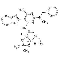 Cc1nc(N(C)Cc2ccccc2)nc(N[C@@H]2C[C@H](CO)[C@H]3OC(C)(C)O[C@H]32)c1-c1nc2ccccc2s1